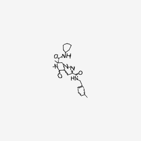 Cc1cccc(CNC(=O)c2cc3n(n2)CC(C)(C(=O)NC2CCCCC2)N(C)C3=O)c1